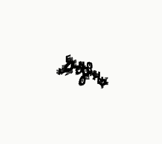 O=C1C(NCCN2CCCC2)=CC(=O)c2oc(-c3cc(F)cc(F)c3)nc21